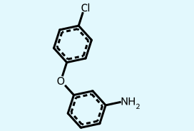 Nc1cccc(Oc2ccc(Cl)cc2)c1